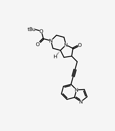 CC(C)(C)OC(=O)N1CCN2C(=O)C(CC#Cc3cccc4nccn34)C[C@H]2C1